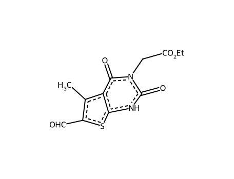 CCOC(=O)Cn1c(=O)[nH]c2sc(C=O)c(C)c2c1=O